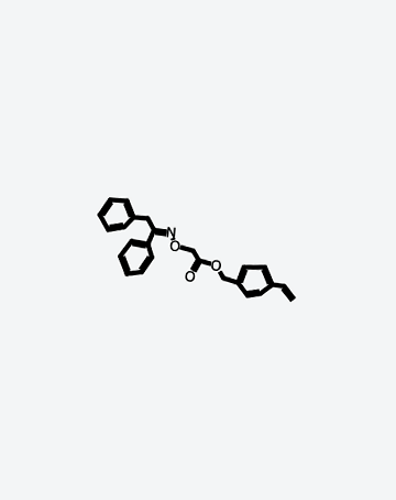 C=Cc1ccc(COC(=O)CON=C(Cc2ccccc2)c2ccccc2)cc1